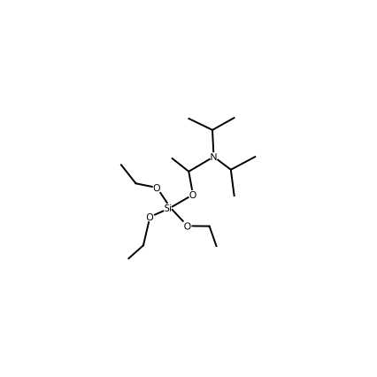 CCO[Si](OCC)(OCC)OC(C)N(C(C)C)C(C)C